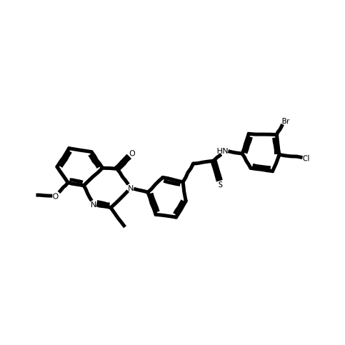 COc1cccc2c(=O)n(-c3cccc(CC(=S)Nc4ccc(Cl)c(Br)c4)c3)c(C)nc12